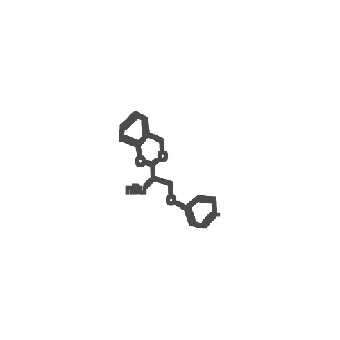 CCCCC(COc1cc[c]cc1)C1OCc2ccccc2O1